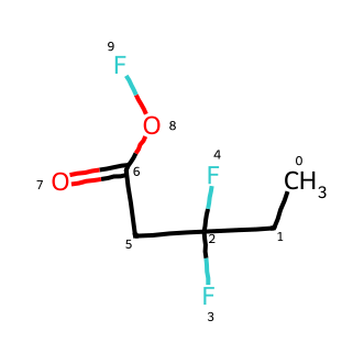 CCC(F)(F)CC(=O)OF